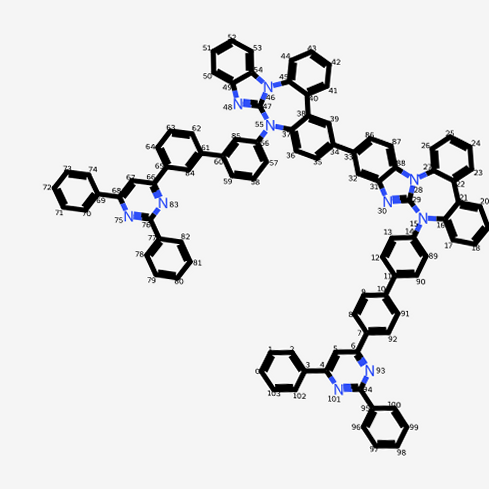 c1ccc(-c2cc(-c3ccc(-c4ccc(N5c6ccccc6-c6ccccc6-n6c5nc5cc(-c7ccc8c(c7)-c7ccccc7-n7c(nc9ccccc97)N8c7cccc(-c8cccc(-c9cc(-c%10ccccc%10)nc(-c%10ccccc%10)n9)c8)c7)ccc56)cc4)cc3)nc(-c3ccccc3)n2)cc1